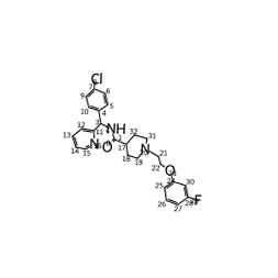 O=C(NC(c1ccc(Cl)cc1)c1ccccn1)C1CCN(CCOc2cccc(F)c2)CC1